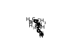 Cc1cc(C)c(-c2cnc(NC(=O)c3cccc(Cn4ccnn4)c3)n2C)cc1Br